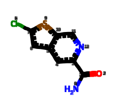 NC(=O)c1cc2cc(Cl)sc2cn1